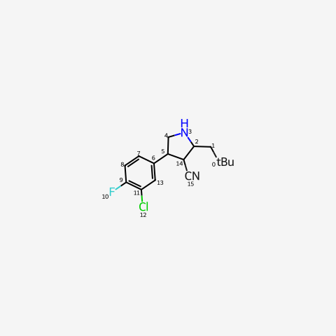 CC(C)(C)CC1NCC(c2ccc(F)c(Cl)c2)C1C#N